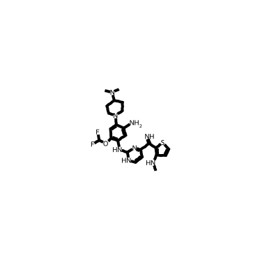 CNc1ccsc1C(=N)C1=NC(Nc2cc(N)c(N3CCC(N(C)C)CC3)cc2OC(F)F)NC=C1